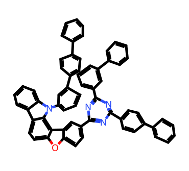 c1ccc(-c2ccc(-c3cccc(-n4c5ccccc5c5ccc6oc7ccc(-c8nc(-c9ccc(-c%10ccccc%10)cc9)nc(-c9cccc(-c%10ccccc%10)c9)n8)cc7c6c54)c3)cc2)cc1